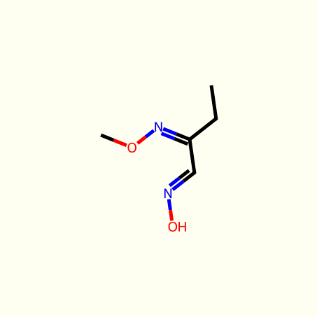 CCC(C=NO)=NOC